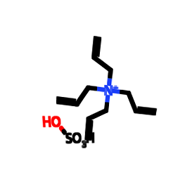 C=CC[N+](CC=C)(CC=C)CC=C.O=S(=O)(O)O